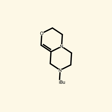 CCC(C)N1CCN2CCOC=C2C1